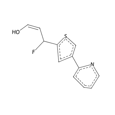 O/C=C\C(F)c1cc(-c2ccccn2)cs1